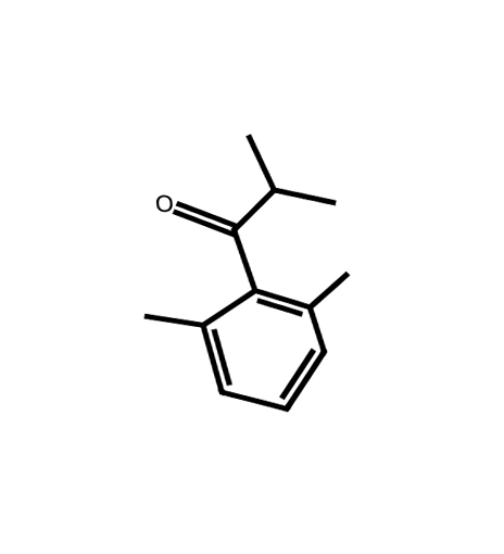 Cc1cccc(C)c1C(=O)C(C)C